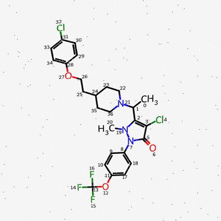 CC(c1c(Cl)c(=O)n(-c2ccc(OC(F)(F)F)cc2)n1C)N1CCC(CCOc2ccc(Cl)cc2)CC1